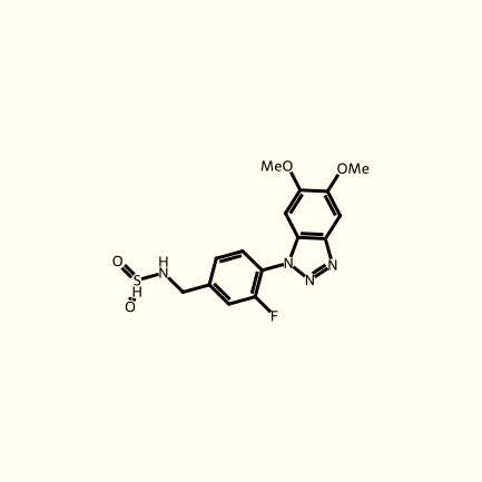 COc1cc2nnn(-c3ccc(CN[SH](=O)=O)cc3F)c2cc1OC